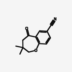 CC1(C)COc2ccc(C#N)cc2C(=O)C1